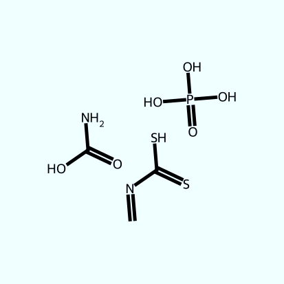 C=NC(=S)S.NC(=O)O.O=P(O)(O)O